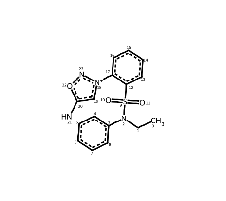 CCN(c1ccccc1)S(=O)(=O)c1ccccc1-[n+]1cc([NH-])on1